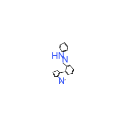 CN(C)C1=C(c2ccccc2/C=N/Nc2ccccc2)CC=C1